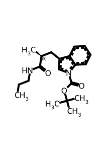 CCCNC(=O)[C@@H](C)Cc1cn(C(=O)OC(C)(C)C)c2ccccc12